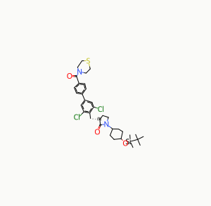 CC(C)(C)[Si](C)(C)OC1CCC(N2CC[C@@H](Cc3c(Cl)cc(-c4ccc(C(=O)N5CCSCC5)cc4)cc3Cl)C2=O)CC1